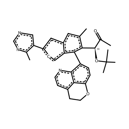 CC(=O)[C@@H](OC(C)(C)C)c1c(C)cc2cc(-c3cncnc3C)ccc2c1-c1ccc2c3c(ccnc13)CCO2